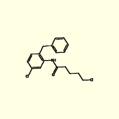 O=C(CCCCCl)Nc1cc(Cl)ccc1Cc1ccccc1